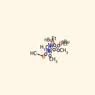 C#CC#CC#COc1ccc(-c2nc3c(C)c4nsnc4c(-c4ccc5c(c4)C(c4ccc(OCC(CC)CCCC)cc4)(c4ccc(OCC(CC)CCCC)cc4)c4cc(C)ccc4-5)c3nc2-c2ccc(C)cc2)cc1